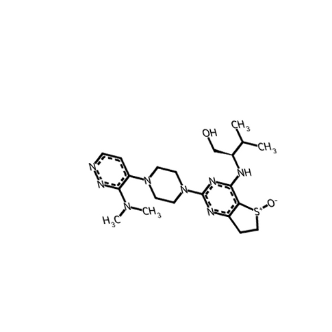 CC(C)[C@H](CO)Nc1nc(N2CCN(c3ccnnc3N(C)C)CC2)nc2c1[S+]([O-])CC2